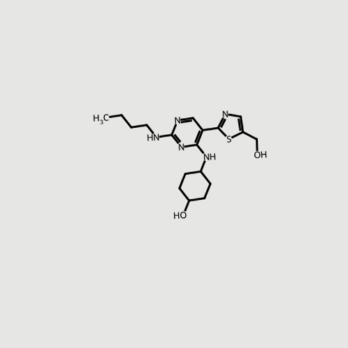 CCCCNc1ncc(-c2ncc(CO)s2)c(NC2CCC(O)CC2)n1